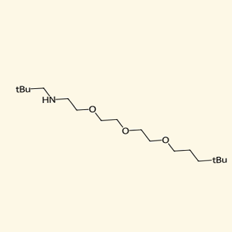 CC(C)(C)CCCOCCOCCOCCNCC(C)(C)C